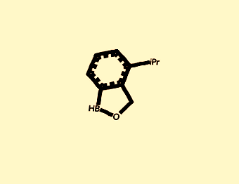 CC(C)c1cccc2c1COB2